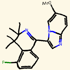 COc1ccc2ncc(C3=NC(C)(C)C(C)(C)c4c(F)cccc43)n2c1